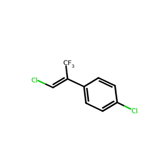 FC(F)(F)/C(=C\Cl)c1ccc(Cl)cc1